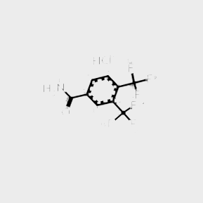 Cl.NC(=O)c1ccc(C(F)(F)F)c(C(F)(F)F)c1